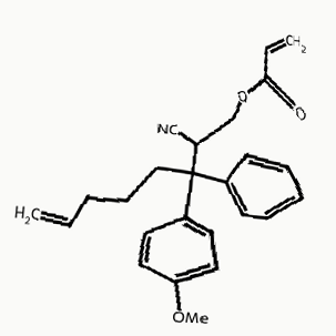 C=CCCCC(c1ccccc1)(c1ccc(OC)cc1)C(C#N)COC(=O)C=C